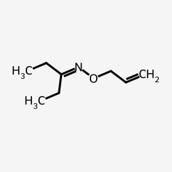 C=CCON=C(CC)CC